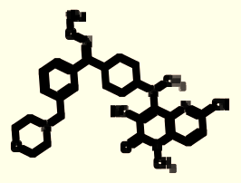 CN(c1c(C#N)c(=O)n(C)c2ccc(C#N)nc12)C1CCC(/C(=N/OC(C)(C)C)c2cccc(CN3CCOCC3)c2)CC1